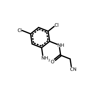 N#CCC(=O)Nc1c(N)cc(Cl)cc1Cl